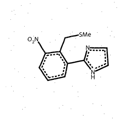 CSCc1c(-c2ncc[nH]2)cccc1[N+](=O)[O-]